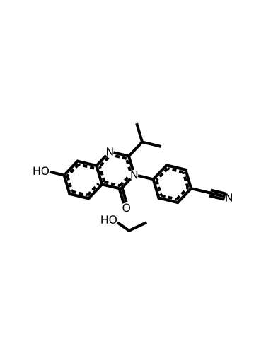 CC(C)c1nc2cc(O)ccc2c(=O)n1-c1ccc(C#N)cc1.CCO